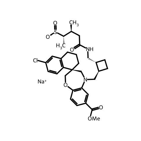 COC(=O)c1ccc2c(c1)N(C[C@@H]1CC[C@H]1CNC(=O)C[C@H](C)[C@H](C)S(=O)[O-])C[C@@]1(CCCc3cc(Cl)ccc31)CO2.[Na+]